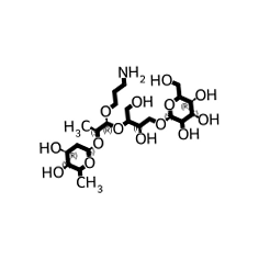 CC1O[C@@H](O[C@@H](C)[C@H](OCCCN)OC(CO)[C@H](O)CO[C@H]2OC(CO)[C@H](O)[C@H](O)C2O)C[C@@H](O)[C@@H]1O